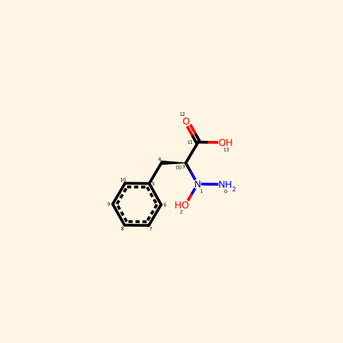 NN(O)[C@@H](Cc1ccccc1)C(=O)O